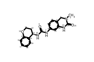 CN1Cc2ccc(NC(=O)N[C@@H]3CCOc4ccccc43)cc2NC1=O